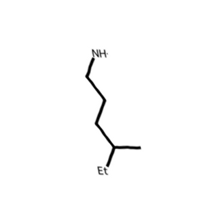 CCC(C)CCC[NH]